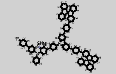 N=C1C(c2ccc(-n3c4ccc(-c5ccc(-c6ccc7c(c6)C6(c8ccccc8-c8ccccc86)c6ccccc6-7)cc5)cc4c4cc(-c5ccc(-c6ccc7c(c6)C6(c8ccccc8-c8ccccc86)c6ccccc6-7)cc5)ccc43)cc2)=CC=C(N(c2ccccc2)c2ccc(-c3ccc(F)cc3)cc2)/C1=N/S